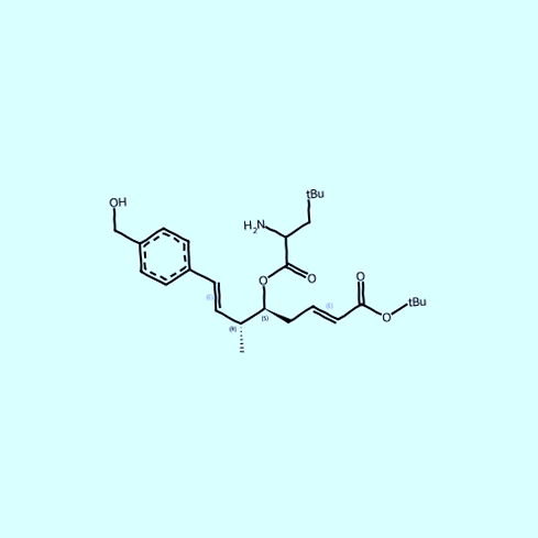 C[C@H](/C=C/c1ccc(CO)cc1)[C@H](C/C=C/C(=O)OC(C)(C)C)OC(=O)C(N)CC(C)(C)C